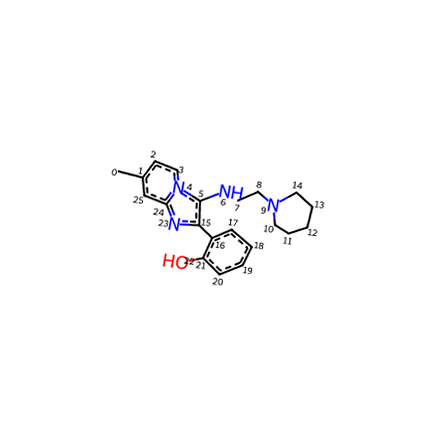 Cc1ccn2c(NCCN3CCCCC3)c(-c3ccccc3O)nc2c1